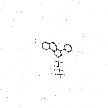 FC(F)(F)C(F)(F)C(F)(F)C(F)(F)c1cc(-c2ccccc2)c2ccc3ccccc3c2n1